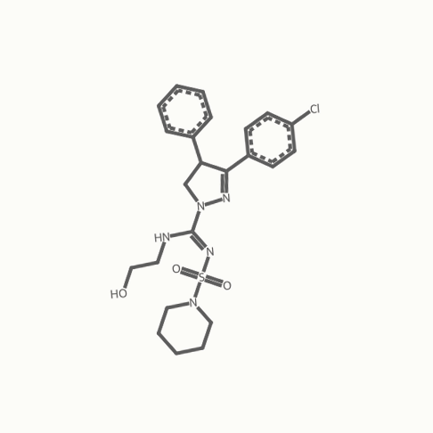 O=S(=O)(/N=C(\NCCO)N1CC(c2ccccc2)C(c2ccc(Cl)cc2)=N1)N1CCCCC1